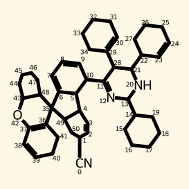 N#CC1C=CC2C3C(=CC=CC3C3=NC(C4CCCCC4)NC(C4C=CCCC4)C3C3=CCCCC3)C3(C4=C(C=CCC4)OC4CCCCC43)C2C1